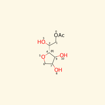 CC(=O)OCC(O)[C@H]1OCC(O)C1O